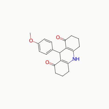 COc1ccc(C2C3=C(CCCC3=O)NC3=C2C(=O)CCC3)cc1